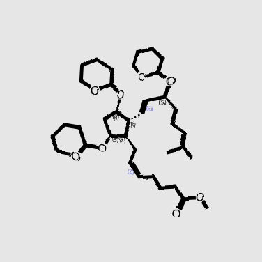 COC(=O)CCC/C=C\C[C@@H]1[C@@H](/C=C/[C@H](CCC=C(C)C)OC2CCCCO2)[C@H](OC2CCCCO2)C[C@@H]1OC1CCCCO1